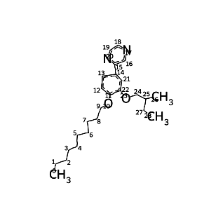 CCCCCCCCCCOc1ccc(-c2cnccn2)cc1OCC(C)CC